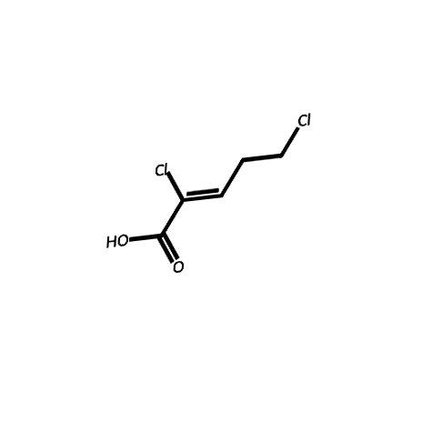 O=C(O)C(Cl)=CCCCl